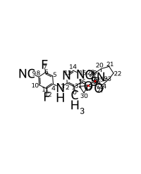 Cc1c(Nc2cc(F)c(C#N)cc2F)ncnc1OC1CC2CCC(C1)N2S(=O)(=O)C1CC1